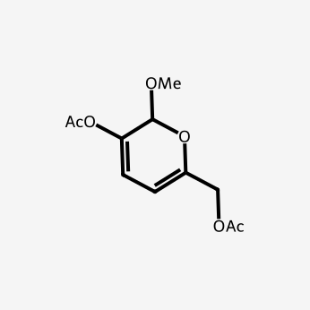 COC1OC(COC(C)=O)=CC=C1OC(C)=O